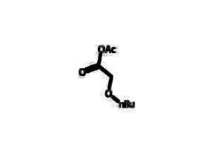 CCCCOCC(=O)OC(C)=O